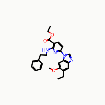 CCOC(=O)c1ccc(-n2cnc3cc(CC)c(OC)cc32)nc1NCCc1ccccc1